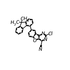 CC1(C)c2ccccc2-c2c(-c3ccc4oc5c(C#N)nc(Cl)nc5c4c3)cccc21